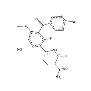 CC[C@@H](N[C@H](C)CC(N)=O)c1ccc(OC)c(C(=O)c2ccc(N)nc2)c1F.Cl